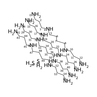 NCCCNCCCCNCCCN.NCCCNCCCCNCCCN.NCCCNCCCCNCCCN.NCCCNCCCCNCCCN.S.S